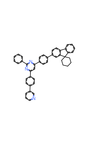 c1ccc(-c2nc(-c3ccc(-c4cccnc4)cc3)cc(-c3ccc(-c4ccc5c(c4)C4(CCCCC4)c4ccccc4-5)cc3)n2)cc1